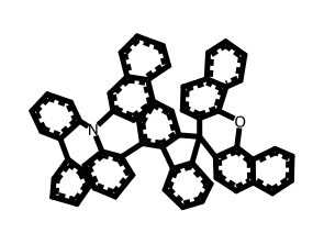 c1ccc(-c2ccccc2N(c2ccc3ccccc3c2)c2ccccc2-c2cccc3c2-c2ccccc2C32c3ccc4ccccc4c3Oc3c2ccc2ccccc32)cc1